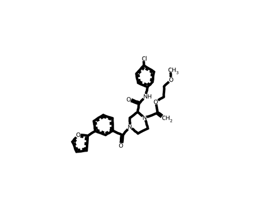 C=C(OCCOC)N1CCN(C(=O)c2cccc(-c3ccco3)c2)CC1C(=O)Nc1ccc(Cl)cc1